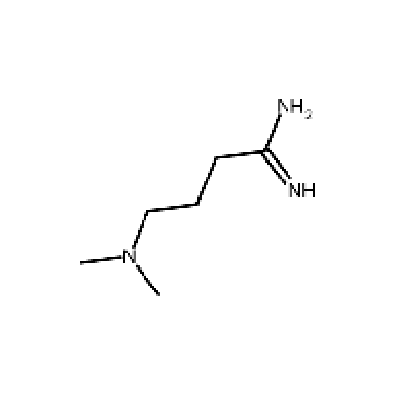 CN(C)CCCC(=N)N